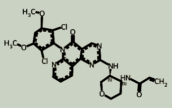 C=CC(=O)N[C@H]1CCOC[C@H]1Nc1ncc2c(=O)n(-c3c(Cl)c(OC)cc(OC)c3Cl)c3ncccc3c2n1